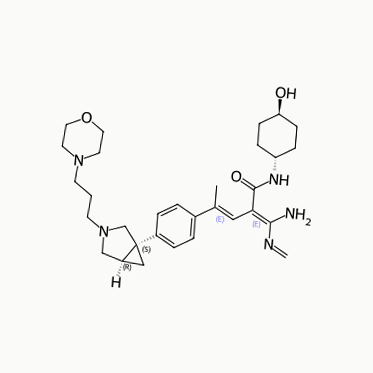 C=N/C(N)=C(\C=C(/C)c1ccc([C@]23C[C@H]2CN(CCCN2CCOCC2)C3)cc1)C(=O)N[C@H]1CC[C@H](O)CC1